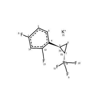 Fc1ccc([C@H]2C[C@@H]2[B-](F)(F)F)c(F)c1.[K+]